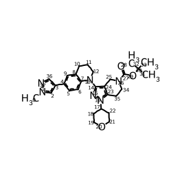 Cn1cc(-c2ccc3c(c2)CCCN3c2nn(C3CCOCC3)c3c2CN(C(=O)OC(C)(C)C)CC3)cn1